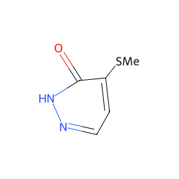 CSc1ccn[nH]c1=O